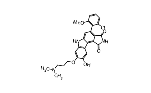 COc1cccc(Cl)c1-c1cc2[nH]c3cc(OCCCN(C)C)c(O)cc3c2c2c1C(=O)NC2=O